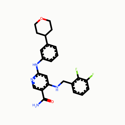 NC(=O)c1cnc(Nc2cccc(C3CCOCC3)c2)cc1NCc1cccc(F)c1F